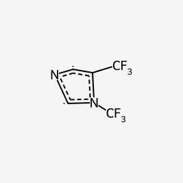 FC(F)(F)c1[c]n[c]n1C(F)(F)F